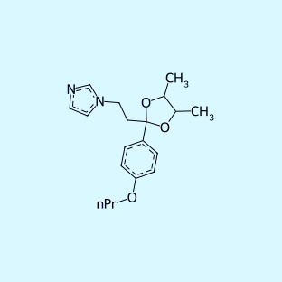 CCCOc1ccc(C2(CCn3ccnc3)OC(C)C(C)O2)cc1